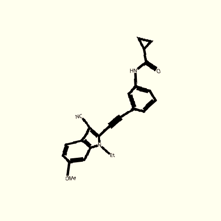 CCn1c(C#Cc2cccc(NC(=O)C3CC3)c2)c(C#N)c2ccc(OC)cc21